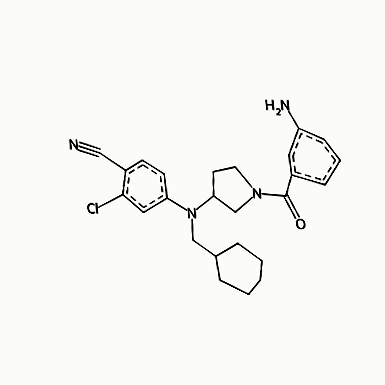 N#Cc1ccc(N(CC2CCCCC2)C2CCN(C(=O)c3cccc(N)c3)C2)cc1Cl